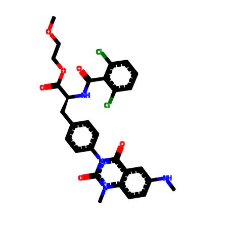 CNc1ccc2c(c1)c(=O)n(-c1ccc(C[C@H](NC(=O)c3c(Cl)cccc3Cl)C(=O)OCCOC)cc1)c(=O)n2C